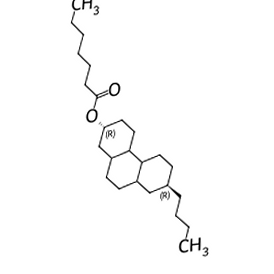 CCCCCCC(=O)O[C@@H]1CCC2C(CCC3C[C@H](CCCC)CCC32)C1